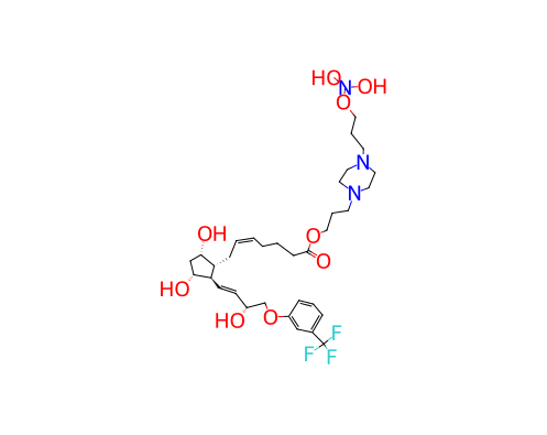 O=C(CCC/C=C\C[C@@H]1[C@@H](/C=C/[C@@H](O)COc2cccc(C(F)(F)F)c2)[C@H](O)C[C@@H]1O)OCCCN1CCN(CCCON(O)O)CC1